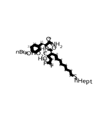 CCCCCCCSCCCCCC/C=C/[C@H](C(=O)N[C@@H](Cc1ccc(OCCCC)cc1)C(N)=O)[C@@](O)(CC(F)F)C(=O)O